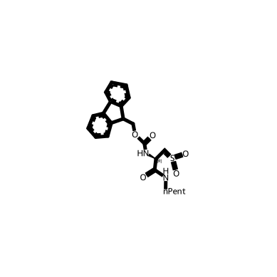 CCCCCNC(=O)[C@H](C=S(=O)=O)NC(=O)OCC1c2ccccc2-c2ccccc21